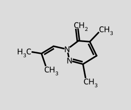 C=C1C(C)=CC(C)=NN1C=C(C)C